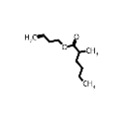 C=CCCOC(=O)C(C)CCCC